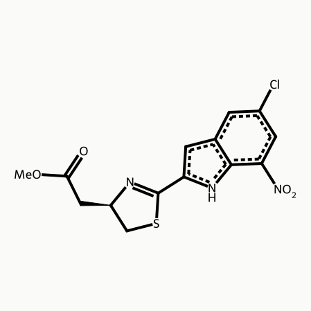 COC(=O)C[C@@H]1CSC(c2cc3cc(Cl)cc([N+](=O)[O-])c3[nH]2)=N1